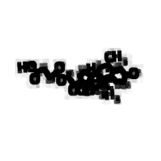 C[C@H]1C[C@@H]2C(=CC[C@@]3(C)[C@H]2CC[C@]3(O)C(=O)COC(=O)CCC(=O)O)[C@@]2(C)C=CC(=O)C=C12